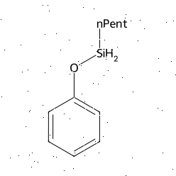 CCCCC[SiH2]Oc1ccccc1